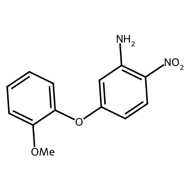 COc1ccccc1Oc1ccc([N+](=O)[O-])c(N)c1